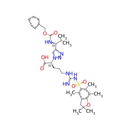 Cc1c(C)c(S(=O)(=O)NC(=N)NCCC[C@@H](C(=O)O)n2cc([C@@H](NC(=O)OCc3ccccc3)C(C)C)nn2)c(C)c2c1OC(C)(C)C2